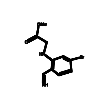 COC(=O)CNc1cc(Br)ccc1C=N